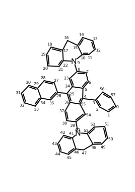 c1ccc(-c2c3ccc(N4c5ccccc5Cc5ccccc54)cc3c(-c3ccc4ccccc4c3)c3ccc(N4c5ccccc5Cc5ccccc54)cc23)cc1